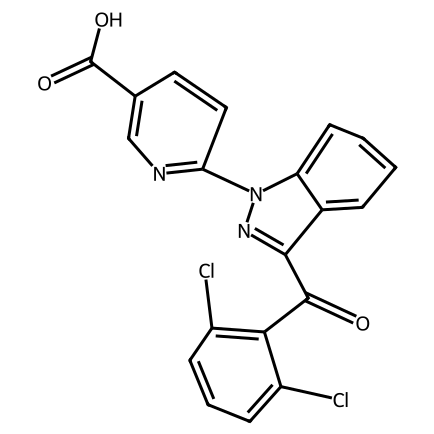 O=C(O)c1ccc(-n2nc(C(=O)c3c(Cl)cccc3Cl)c3ccccc32)nc1